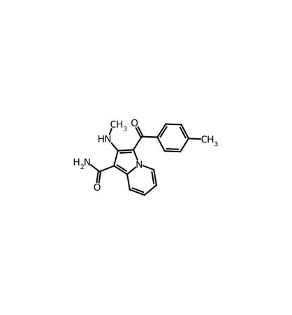 CNc1c(C(N)=O)c2ccccn2c1C(=O)c1ccc(C)cc1